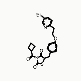 CCc1ccc(CCOc2ccc(CC3SC(=O)N(C(=O)C4CCC4)C3=O)cc2)nc1